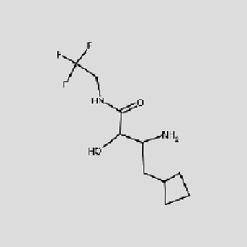 NC(CC1CCC1)C(O)C(=O)NCC(F)(F)F